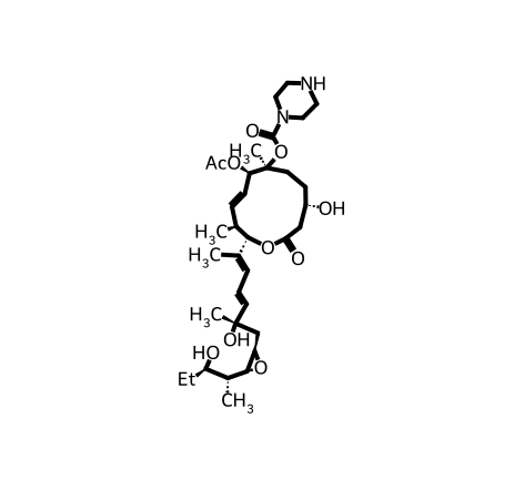 CC[C@@H](O)[C@@H](C)[C@H]1O[C@@H]1C[C@](C)(O)/C=C/C=C(\C)[C@H]1OC(=O)C[C@@H](O)CC[C@](C)(OC(=O)N2CCNCC2)[C@H](OC(C)=O)/C=C/[C@@H]1C